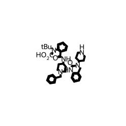 CC(C)(C)N(C(=O)O)c1ccccc1C(=O)NC1CCN(Cc2ccccc2)CC1.O=C1Nc2ccccc2CN1C1CCNCC1